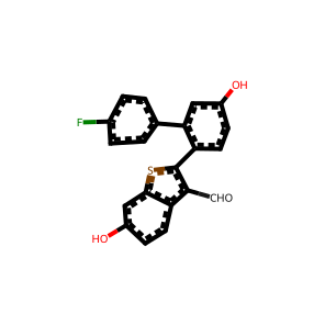 O=Cc1c(-c2ccc(O)cc2-c2ccc(F)cc2)sc2cc(O)ccc12